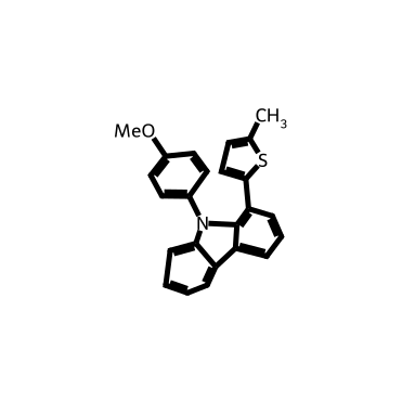 COc1ccc(-n2c3ccccc3c3cccc(-c4ccc(C)s4)c32)cc1